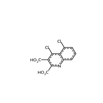 O=C(O)c1nc2cccc(Cl)c2c(Cl)c1C(=O)O